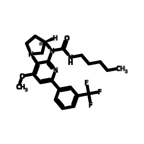 CCCCCNC(=O)N1c2nc(-c3cccc(C(F)(F)F)c3)cc(OC)c2N2CC[C@H]1C2